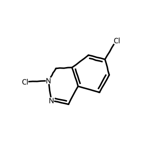 Clc1ccc2c(c1)CN(Cl)N=C2